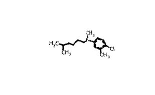 Cc1cc(N(C)CCCCC(C)C)ccc1Cl